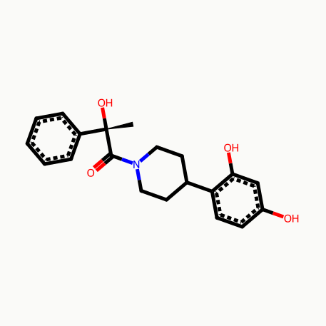 C[C@@](O)(C(=O)N1CCC(c2ccc(O)cc2O)CC1)c1ccccc1